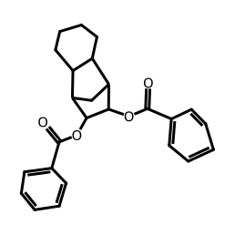 O=C(OC1C2CC(C3CCCCC32)C1OC(=O)c1ccccc1)c1ccccc1